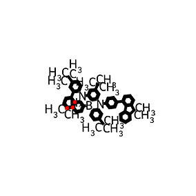 CC(C)(C)c1ccc(N2c3cc(C(C)(C)C)ccc3B3c4ccc(C(C)(C)C)cc4N(c4ccc(-c5cccc6c5-c5ccccc5C6(C)C)cc4)c4cc(C(C)(C)C)cc2c43)c(-c2ccccc2)c1